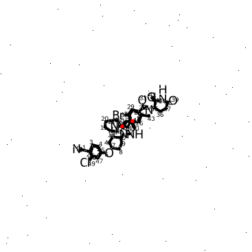 N#Cc1ccc(OC2CCC(N3NC=CC=C3N3C4CCC3CN(Cc3cc5c(cc3Br)C(=O)N(C3CCC(=O)NC3=O)C5)C4)CC2)cc1Cl